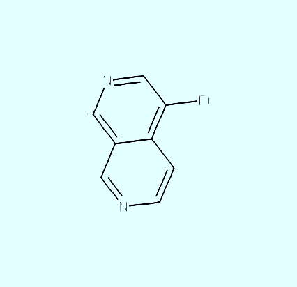 CCc1cncc2cnccc12